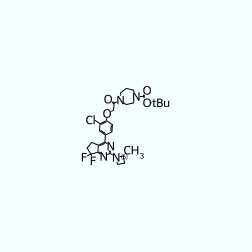 C[C@H]1CCN1c1nc(-c2ccc(OCC(=O)N3CCCN(C(=O)OC(C)(C)C)CC3)c(Cl)c2)c2c(n1)C(F)(F)CC2